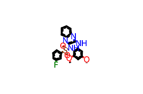 COc1cc(Nc2nc3ccccc3nc2NS(=O)(=O)c2cccc(F)c2)cc(OC)c1